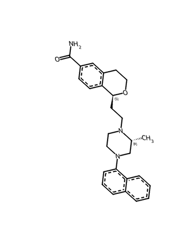 C[C@@H]1CN(c2cccc3ccccc23)CCN1CC[C@@H]1OCCc2cc(C(N)=O)ccc21